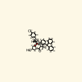 CC(C)(SC(c1ccccc1)(c1ccccc1)c1ccccc1)[C@H](NC(=O)C1(F)CC1)C(=O)N1C[C@H](O)C[C@H]1C(=O)NCc1ccc(Cl)cc1